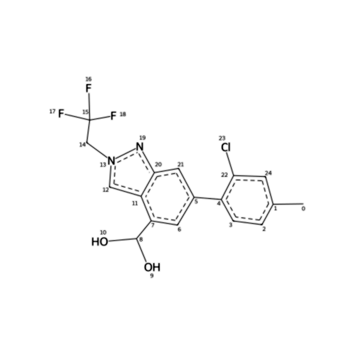 Cc1ccc(-c2cc(C(O)O)c3cn(CC(F)(F)F)nc3c2)c(Cl)c1